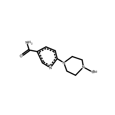 CC(C)(C)N1CCN(c2ccc(C(N)=O)cn2)CC1